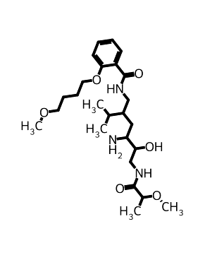 COCCCCOc1ccccc1C(=O)NCC(CC(N)C(O)CNC(=O)C(C)OC)C(C)C